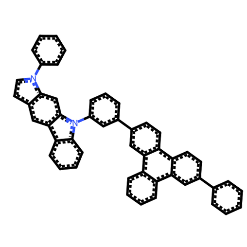 c1ccc(-c2ccc3c4ccc(-c5cccc(-n6c7ccccc7c7cc8ccn(-c9ccccc9)c8cc76)c5)cc4c4ccccc4c3c2)cc1